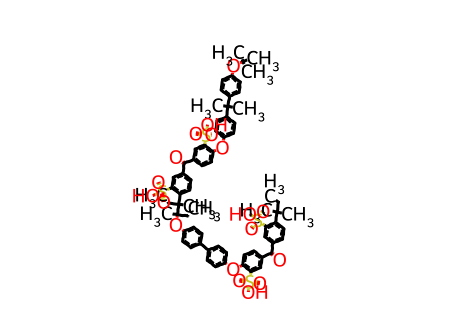 CCC(C)(C)c1ccc(C(=O)c2ccc(Oc3ccc(-c4ccc(OC(C)(CC)C(C)(CC)c5ccc(C(=O)c6ccc(Oc7ccc(C(C)(C)c8ccc(OC(C)(C)C)cc8)cc7)c(S(=O)(=O)O)c6)cc5S(=O)(=O)O)cc4)cc3)c(S(=O)(=O)O)c2)cc1S(=O)(=O)O